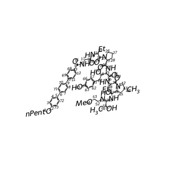 CCCCCOc1ccc(-c2ccc(-c3ccc(C(=O)NCC(=O)NC(CC)C(=O)N4CCCC4C(=O)NC(C(=O)NC(CC)C(=O)N4C[C@H](C)CC4C(=O)NC(NCCOC)[C@@H](C)O)[C@H](O)Cc4ccc(O)cc4)cc3)cc2)cc1